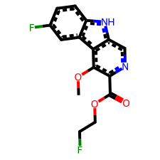 COc1c(C(=O)OCCF)ncc2[nH]c3ccc(F)cc3c12